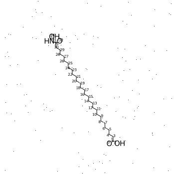 O=C(O)CCCCCCCCCCCCCCCCCCCCCCCCCCCCC(=O)NO